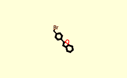 BrCc1ccc(-c2cc3ccccc3o2)cc1